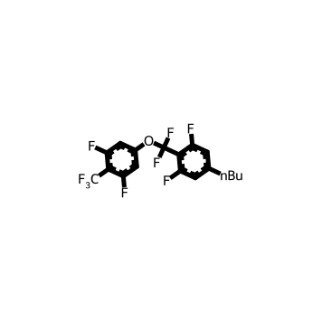 CCCCc1cc(F)c(C(F)(F)Oc2cc(F)c(C(F)(F)F)c(F)c2)c(F)c1